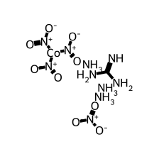 N.N.N.N=C(N)N.O=[N+]([O-])[Co]([N+](=O)[O-])[N+](=O)[O-].O=[N+]([O-])[O-]